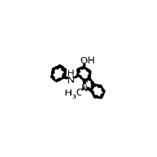 Cn1c2ccccc2c2cc(O)cc(Nc3ccccc3)c21